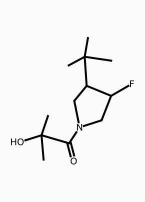 CC(C)(O)C(=O)N1CC(F)C(C(C)(C)C)C1